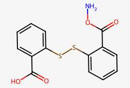 NOC(=O)c1ccccc1SSc1ccccc1C(=O)O